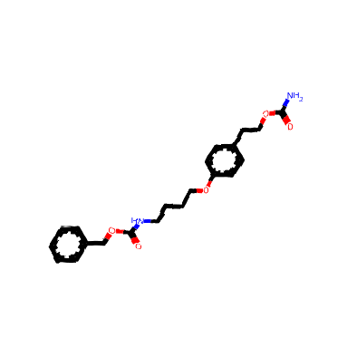 NC(=O)OCCc1ccc(OCCCCNC(=O)OCc2ccccc2)cc1